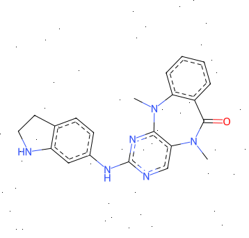 CN1C(=O)c2ccccc2N(C)c2nc(Nc3ccc4c(c3)NCC4)ncc21